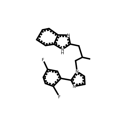 CC(Cc1nc2ccccc2[nH]1)Cn1ccnc1-c1cc(F)ccc1F